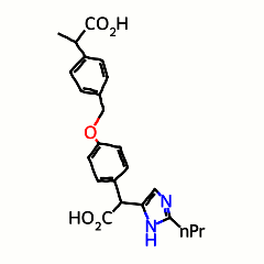 CCCc1ncc(C(C(=O)O)c2ccc(OCc3ccc(C(C)C(=O)O)cc3)cc2)[nH]1